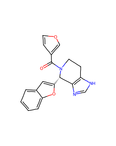 O=C(c1ccoc1)N1CCc2[nH]cnc2[C@@H]1c1cc2ccccc2o1